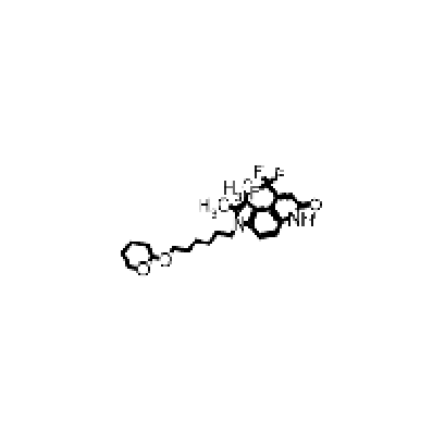 Cc1c(C)n(CCCCCCOC2CCCCO2)c2ccc3[nH]c(=O)cc(C(F)(F)F)c3c12